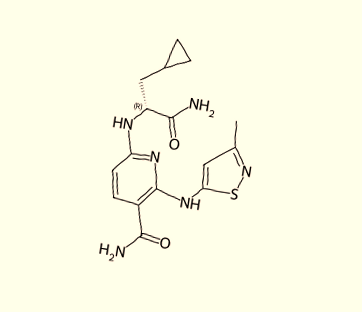 Cc1cc(Nc2nc(N[C@H](CC3CC3)C(N)=O)ccc2C(N)=O)sn1